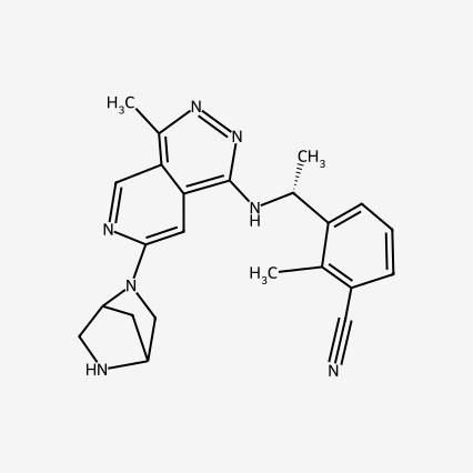 Cc1c(C#N)cccc1[C@@H](C)Nc1nnc(C)c2cnc(N3CC4CC3CN4)cc12